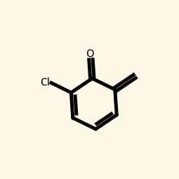 C=C1C=CC=C(Cl)C1=O